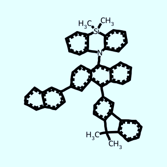 CC1(C)c2ccccc2-c2cc(-c3c4ccccc4c(N4c5ccccc5[Si](C)(C)c5ccccc54)c4ccc(-c5ccc6ccccc6c5)cc34)ccc21